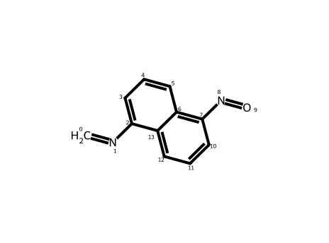 C=Nc1cccc2c(N=O)cccc12